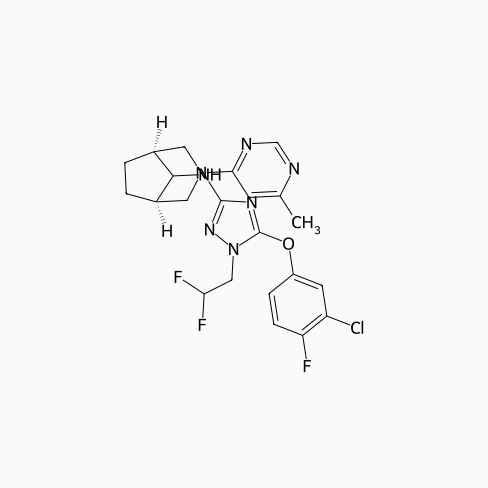 Cc1cc(N2C[C@H]3CC[C@@H](C2)C3Nc2nc(Oc3ccc(F)c(Cl)c3)n(CC(F)F)n2)ncn1